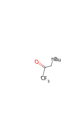 [CH2]CCCCC(=O)C(F)(F)F